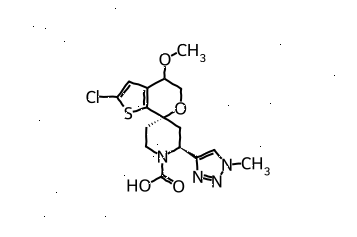 COC1CO[C@]2(CCN(C(=O)O)[C@H](c3cn(C)nn3)C2)c2sc(Cl)cc21